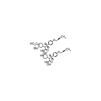 CC#CCOc1ccc(S(=O)(=O)C(C(=O)NO)C2CCN(C(=O)O)C(C(C)(C)C)C2)cc1.CC#CCOc1ccc(S(=O)(=O)C(C(=O)NO)C2CCNCC2)cc1